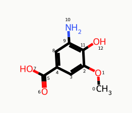 COc1cc(C(=O)O)cc(N)c1O